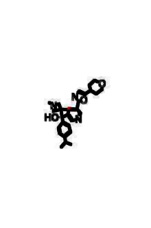 CC(C)c1ccc([C@](O)(c2cncc(-c3ncc(C4CCOCC4)o3)c2)C2(C)CN(C)C2)cc1